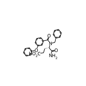 NC(=O)[C@H](CCC(=O)O)N(Cc1ccccc1)C(=O)c1cccc(Oc2ccccc2)c1